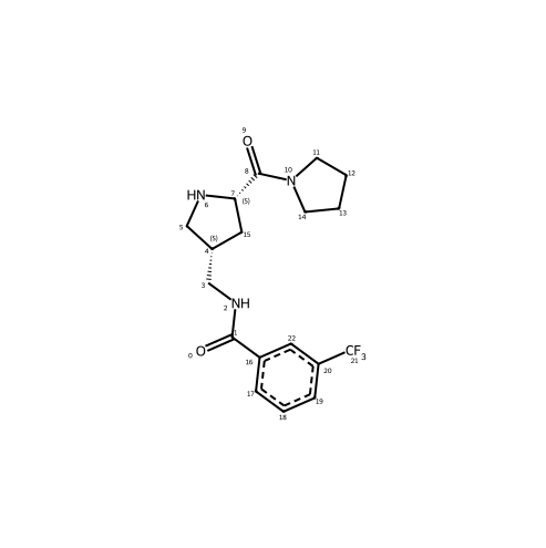 O=C(NC[C@@H]1CN[C@H](C(=O)N2CCCC2)C1)c1cccc(C(F)(F)F)c1